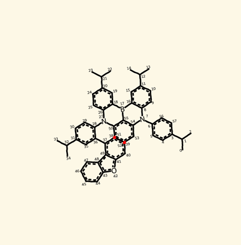 CC(C)c1ccc(N2c3ccc(C(C)C)cc3B3c4cc(C(C)C)ccc4N(c4ccc(C(C)C)cc4-c4cccc5oc6ccccc6c45)c4cccc2c43)cc1